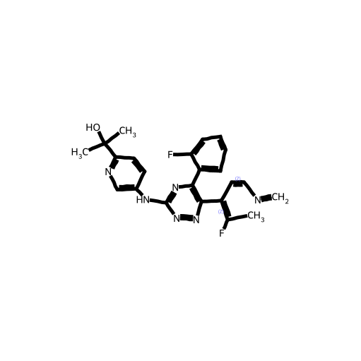 C=N/C=C\C(=C(/C)F)c1nnc(Nc2ccc(C(C)(C)O)nc2)nc1-c1ccccc1F